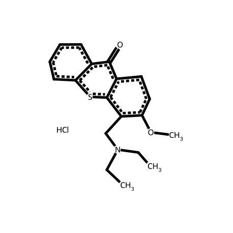 CCN(CC)Cc1c(OC)ccc2c(=O)c3ccccc3sc12.Cl